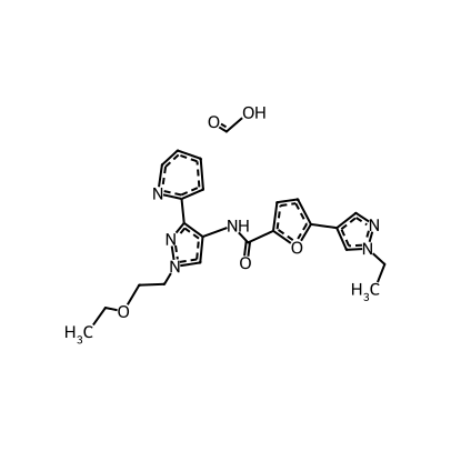 CCOCCn1cc(NC(=O)c2ccc(-c3cnn(CC)c3)o2)c(-c2ccccn2)n1.O=CO